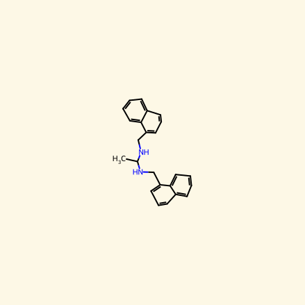 CC(NCc1cccc2ccccc12)NCc1cccc2ccccc12